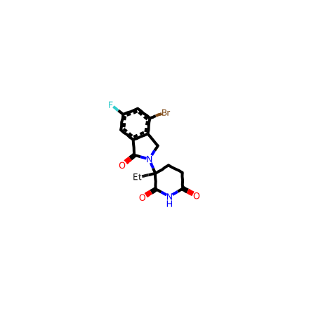 CCC1(N2Cc3c(Br)cc(F)cc3C2=O)CCC(=O)NC1=O